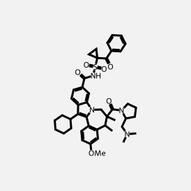 COc1ccc2c(c1)C(C)C(C)(C(=O)N1CCCC1CN(C)C)Cn1c-2c(C2CCCCC2)c2ccc(C(=O)NS(=O)(=O)C3(C(=O)c4ccccc4)CC3)cc21